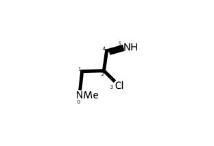 CNCC(Cl)C=N